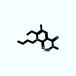 CCCCn1c(CC)c(C)cc(C(=O)N(C)O)c1=O